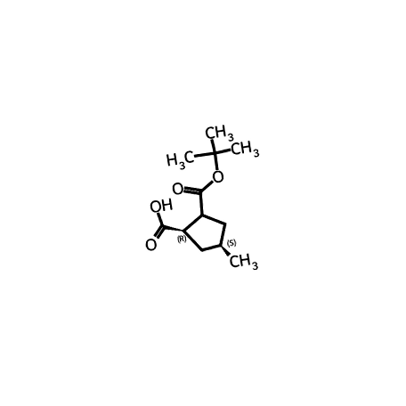 C[C@@H]1CC(C(=O)OC(C)(C)C)[C@H](C(=O)O)C1